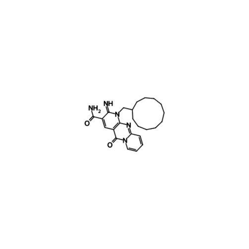 N=c1c(C(N)=O)cc2c(=O)n3ccccc3nc2n1CC1CCCCCCCCCC1